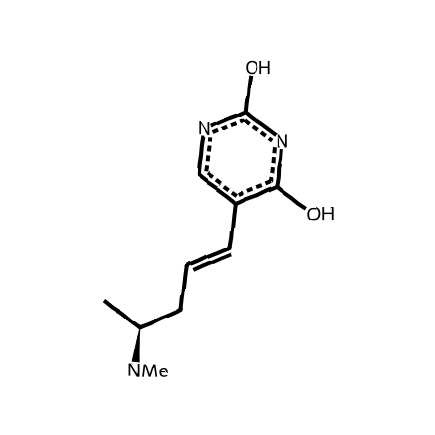 CN[C@@H](C)CC=Cc1cnc(O)nc1O